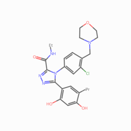 CCNC(=O)c1nnc(-c2cc(C(C)C)c(O)cc2O)n1-c1ccc(CN2CCOCC2)c(Cl)c1